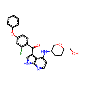 O=C(c1ccc(Oc2ccccc2)cc1F)c1c[nH]c2nccc(N[C@@H]3CC[C@@H](CO)OC3)c12